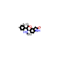 CC(=O)OC(Oc1cccc2c1CC(=O)N2)C(CNC(C)(C)C)c1ccccc1